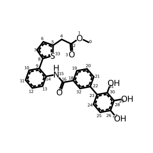 COC(=O)Cc1ccc(-c2ccccc2NC(=O)c2cccc(-c3ccc(O)c(O)c3O)c2)s1